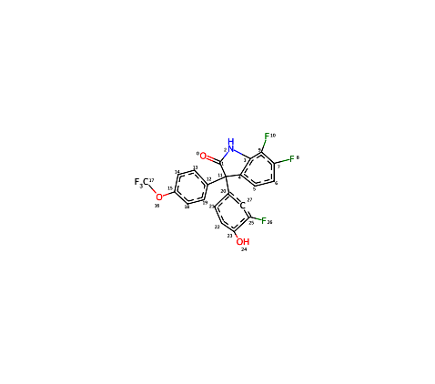 O=C1Nc2c(ccc(F)c2F)C1(c1ccc(OC(F)(F)F)cc1)c1ccc(O)c(F)c1